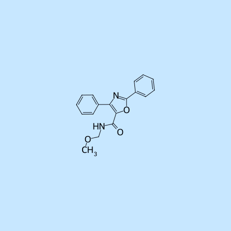 COCNC(=O)c1oc(-c2ccccc2)nc1-c1ccccc1